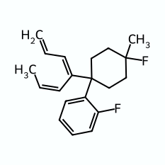 C=C/C=C(\C=C/C)C1(c2ccccc2F)CCC(C)(F)CC1